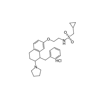 Cl.O=S(=O)(CC1CC1)NCCOc1ccc2c(c1)C(Cc1ccccc1)C(N1CCCC1)CC2